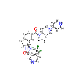 CN(C(=O)c1ccc2c(c1)[C@H](NC(=O)c1cnccc1C(F)(F)F)CC2)C1CCN(c2ccncc2)CC1